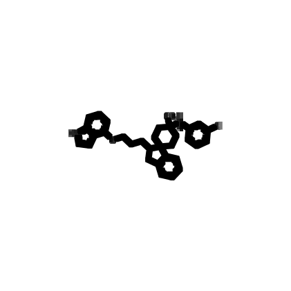 O=C(O)C1(Nc2cccc(Cl)c2)CCC2(CC1)c1ccccc1CC2CCCOc1cccc2[nH]ccc12